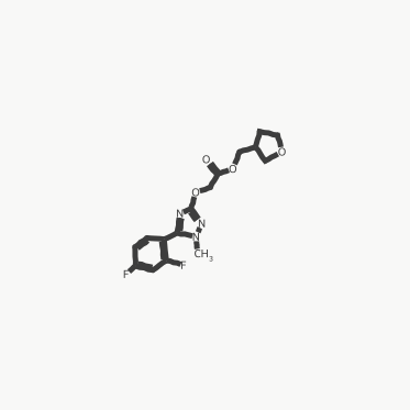 Cn1nc(OCC(=O)OCC2CCOC2)nc1-c1ccc(F)cc1F